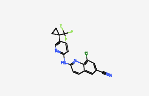 N#Cc1cc(Cl)c2nc(Nc3ccc(C4(C(F)(F)F)CC4)cn3)ccc2c1